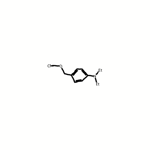 CCN(CC)c1ccc(COCl)cc1